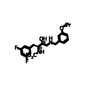 CC(C)Oc1cccc(CNC[C@H](O)[C@H](Cc2cc(F)cc(F)c2)NC(=O)O)c1